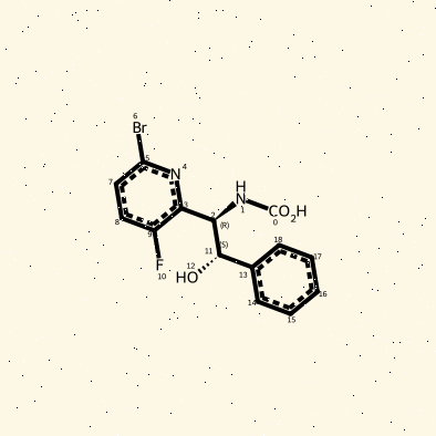 O=C(O)N[C@H](c1nc(Br)ccc1F)[C@@H](O)c1ccccc1